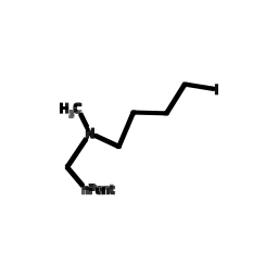 CCCCCCN(C)CCCCI